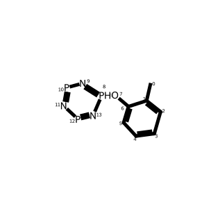 Cc1ccccc1O[PH]1=NP=NP=N1